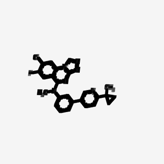 CN(c1cccc(-c2ccc(C3(C)CC3)nc2)c1)c1nc2nncn2c2cc(Cl)c(F)cc12